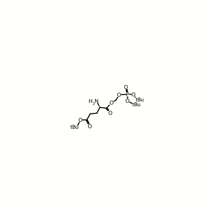 CC(C)(C)OC(=O)CC[C@@H](N)C(=O)OCOP(=O)(OC(C)(C)C)OC(C)(C)C